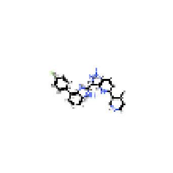 Cc1ccncc1-c1ccc2[nH]nc(-c3nc4c(-c5ccc(F)cc5)cccc4[nH]3)c2n1